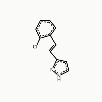 Clc1ccccc1/C=C/c1cc[nH]n1